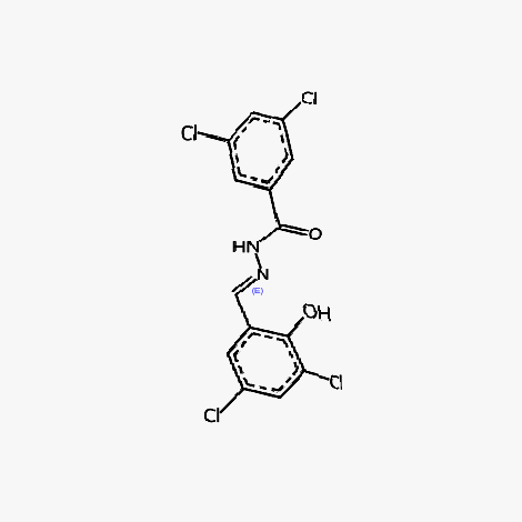 O=C(N/N=C/c1cc(Cl)cc(Cl)c1O)c1cc(Cl)cc(Cl)c1